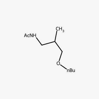 CCCCOCC(C)CNC(C)=O